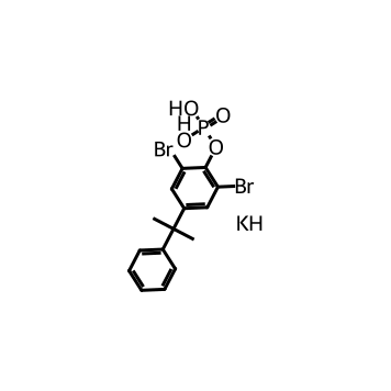 CC(C)(c1ccccc1)c1cc(Br)c(OP(=O)(O)O)c(Br)c1.[KH]